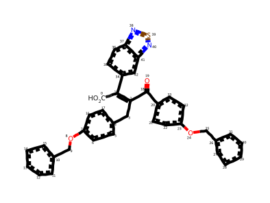 O=C(O)C(=C(Cc1ccc(OCc2ccccc2)cc1)C(=O)c1ccc(OCc2ccccc2)cc1)c1ccc2nsnc2c1